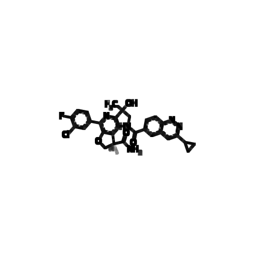 C[C@]1(C(N)=O)COc2c1cc(C(O)(CNC(=O)c1ccc3nnc(C4CC4)cc3c1)C(F)(F)F)nc2-c1ccc(F)c(Cl)c1